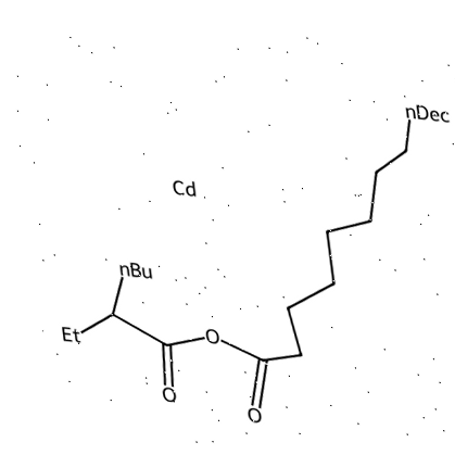 CCCCCCCCCCCCCCCCCC(=O)OC(=O)C(CC)CCCC.[Cd]